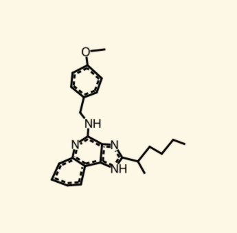 CCCCC(C)c1nc2c(NCc3ccc(OC)cc3)nc3ccccc3c2[nH]1